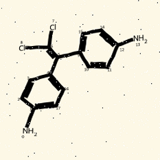 Nc1ccc(C(=C(Cl)Cl)c2ccc(N)cc2)cc1